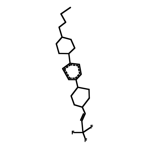 CCCCC1CCC(c2ccc(C3CCC(/C=C/C(F)(F)F)CC3)cc2)CC1